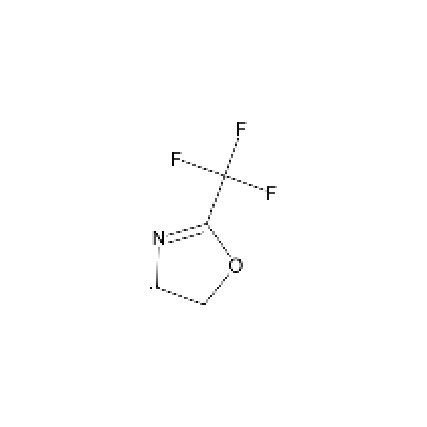 FC(F)(F)C1=N[CH]CO1